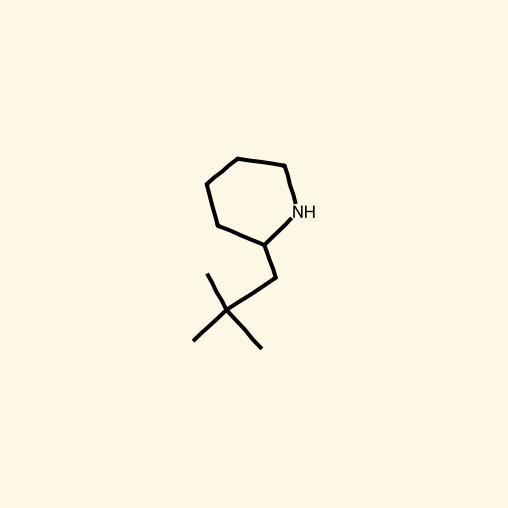 CC(C)(C)CC1CCCCN1